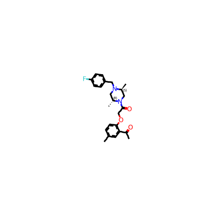 CC(=O)c1cc(C)ccc1OCC(=O)N1C[C@H](C)N(Cc2ccc(F)cc2)C[C@H]1C